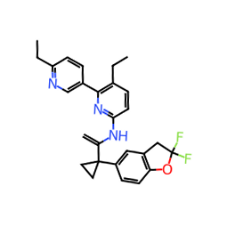 C=C(Nc1ccc(CC)c(-c2ccc(CC)nc2)n1)C1(c2ccc3c(c2)CC(F)(F)O3)CC1